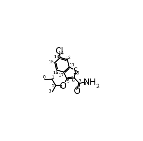 CCC(C)Oc1c(C(N)=O)sc2cc(Cl)ccc12